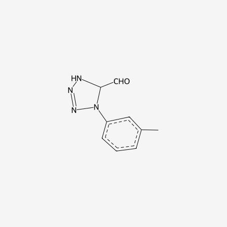 Cc1cccc(N2N=NNC2C=O)c1